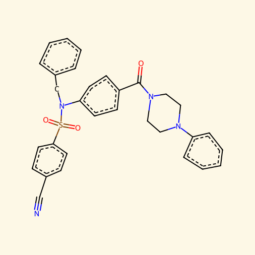 N#Cc1ccc(S(=O)(=O)N(Cc2ccccc2)c2ccc(C(=O)N3CCN(c4ccccc4)CC3)cc2)cc1